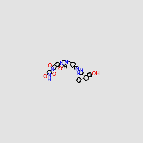 O=C1CC[C@H](N2Cc3c(ccc4c3OC[C@H]3CN(CC5CCC6(CC5)CN(c5ncc([C@@H]7c8ccc(O)cc8CC[C@@H]7c7ccccc7)cn5)C6)CCN43)C2=O)C(=O)N1